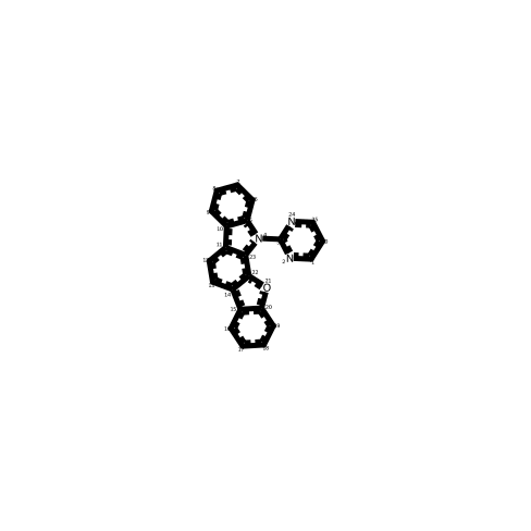 c1cnc(-n2c3ccccc3c3ccc4c5ccccc5oc4c32)nc1